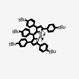 CC(C)(C)c1ccc(C2=CC(c3ccc(C(C)(C)C)cc3)=[N+]3C2=C(c2ccc(C(C)(C)C)cc2)c2c(-c4ccc(C(C)(C)C)cc4)cc(-c4ccc(C(C)(C)C)cc4)n2[B-]3(F)F)cc1